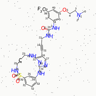 CN(C)CCOc1cc(NC(=O)NCC#Cc2cnc3nc2NCCCNS(=O)(=O)c2cccc(c2)N3)cc(C(F)(F)F)c1